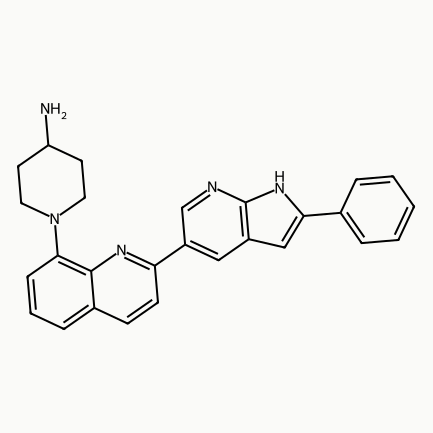 NC1CCN(c2cccc3ccc(-c4cnc5[nH]c(-c6ccccc6)cc5c4)nc23)CC1